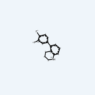 Fc1ccc(-c2cccc3c2CCCN3)cc1F